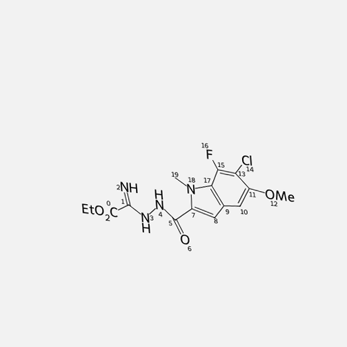 CCOC(=O)C(=N)NNC(=O)c1cc2cc(OC)c(Cl)c(F)c2n1C